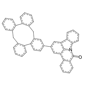 O=c1c2ccccc2c2cc(-c3ccc4c(c3)Cc3ccccc3-c3ccccc3Cc3ccccc3-4)cc3c4ccccc4n1c23